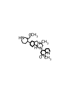 COC[C@@H]1CNCCCC1c1ccc2c(c1)CN1[C@H](C)CN(c3cc(=O)n(C)c4ncccc34)C[C@H]21